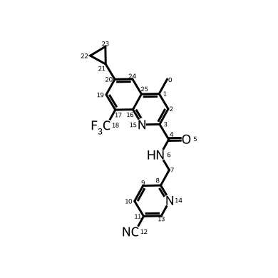 Cc1cc(C(=O)NCc2ccc(C#N)cn2)nc2c(C(F)(F)F)cc(C3CC3)cc12